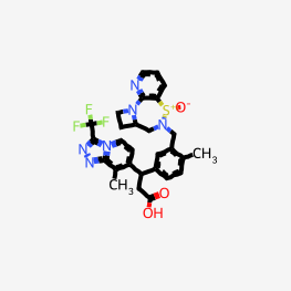 Cc1ccc(C(CC(=O)O)c2ccn3c(C(F)(F)F)nnc3c2C)cc1CN1CC2CCN2c2ncccc2[S+]1[O-]